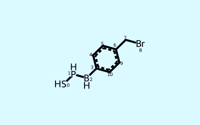 SPBc1ccc(CBr)cc1